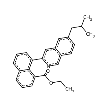 CCOC(=O)c1cccc2cccc(-c3cc4cc(CC(C)C)ccc4cn3)c12